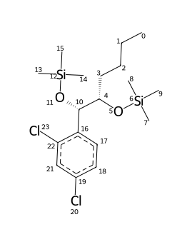 CCCC[C@H](O[Si](C)(C)C)[C@@H](O[Si](C)(C)C)c1ccc(Cl)cc1Cl